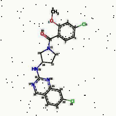 COc1cc(Cl)ccc1C(=O)N1CCC(Nc2ncc3ccc(Cl)cc3n2)C1